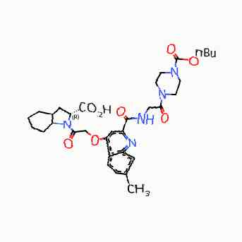 CCCCOC(=O)N1CCN(C(=O)CNC(=O)c2cc(OCC(=O)N3C4CCCCC4C[C@@H]3C(=O)O)c3ccc(C)cc3n2)CC1